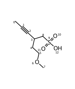 CC#CC(CCOC)CS(=O)(=O)O